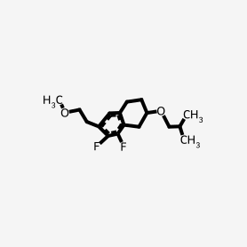 COCCc1cc2c(c(F)c1F)CC(OCC(C)C)CC2